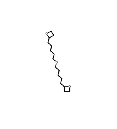 C(CCOCCCCCC1CCO1)CCC1CCO1